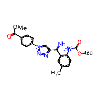 COC(=O)c1ccc(-n2cc(C(=N)c3cc(C)ccc3NC(=O)OC(C)(C)C)nn2)cc1